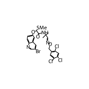 CSC(Oc1ccc2ncc(Br)cc2c1)C(=O)NC(C)(C)C=NOCc1cc(Cl)c(Cl)cc1Cl